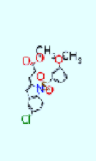 COC(=O)CCc1cc2cc(Cl)ccc2n1S(=O)(=O)c1cccc(OC)c1